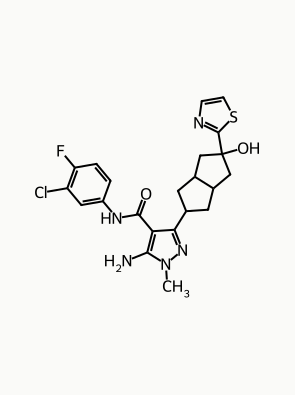 Cn1nc(C2CC3CC(O)(c4nccs4)CC3C2)c(C(=O)Nc2ccc(F)c(Cl)c2)c1N